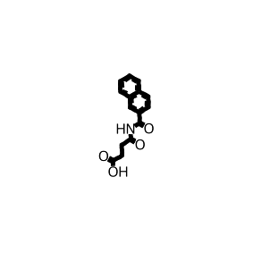 O=C(O)CCC(=O)NC(=O)c1ccc2ccccc2c1